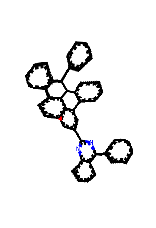 c1ccc(-c2nc(-c3cccc(-c4ccccc4C4c5ccccc5-c5ccccc5C4c4ccccc4)c3)nc3ccccc23)cc1